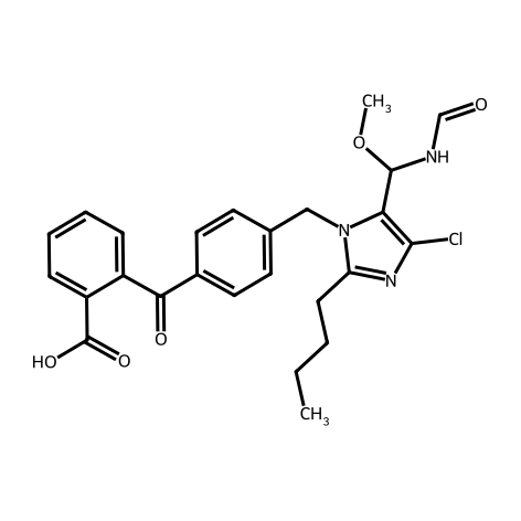 CCCCc1nc(Cl)c(C(NC=O)OC)n1Cc1ccc(C(=O)c2ccccc2C(=O)O)cc1